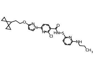 CCCNc1cccc(SNC(=O)c2ccc(-n3ccc(OCCC4C5(CC5)C45CC5)n3)nc2Cl)n1